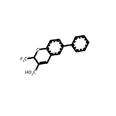 O=C(O)C1=Cc2cc(-c3ccccc3)ccc2OC1C(F)(F)F